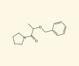 CC(OCc1ccccc1)C(=O)N1CCCC1